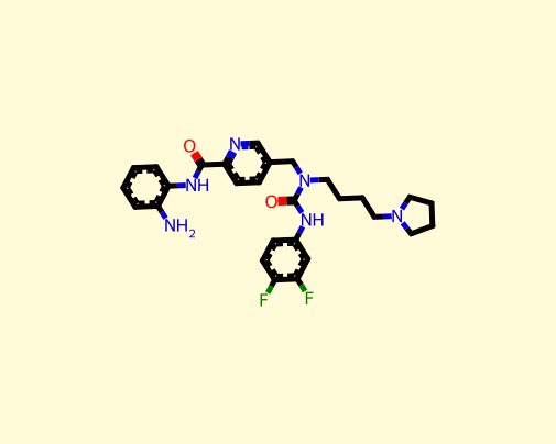 Nc1ccccc1NC(=O)c1ccc(CN(CCCCN2CCCC2)C(=O)Nc2ccc(F)c(F)c2)cn1